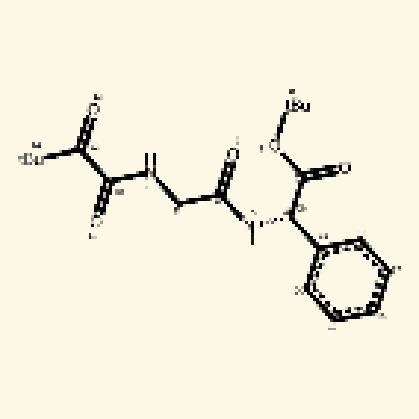 CC(C)(C)OC(=O)[C@@H](NC(=O)CNC(=O)C(=O)C(C)(C)C)c1ccccc1